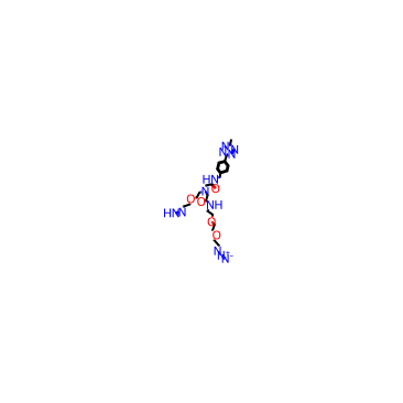 Cc1nnc(-c2ccc(CNC(=O)CN(CCOCCN=N)CC(=O)NCCOCCOCCN=[N+]=[N-])cc2)nn1